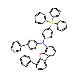 c1ccc(-c2ccc(N(c3ccc(S(c4ccccc4)(c4ccccc4)c4ccccc4)cc3)c3cccc4c3oc3c(-c5ccccc5)cccc34)cc2)cc1